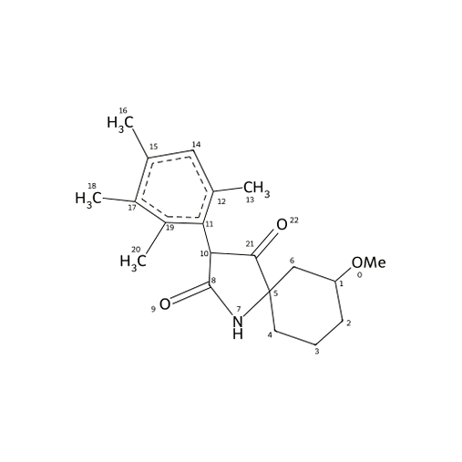 COC1CCCC2(C1)NC(=O)C(c1c(C)cc(C)c(C)c1C)C2=O